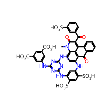 Cn1c(=O)c(C(=O)c2cccc(S(=O)(=O)O)c2)c2c3c(c(Nc4cc(Nc5nc(N)nc(Nc6cc(C(=O)O)cc(C(=O)O)c6)n5)c(S(=O)(=O)O)cc4S(=O)(=O)O)ccc31)C(=O)c1ccccc1-2